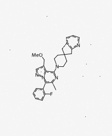 COCc1cnn2c(-c3ccccc3F)c(C)nc(N3CCC4(CC3)Cc3cccnc3C4)c12